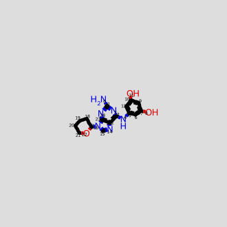 Nc1nc(Nc2cc(O)cc(O)c2)c2ncn(C3CCCCO3)c2n1